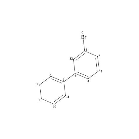 Brc1cccc(C2=CCCC=C2)c1